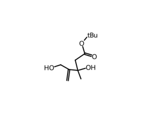 C=C(CO)C(C)(O)CC(=O)OC(C)(C)C